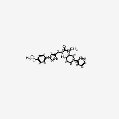 COc1ccc(-n2cc(CNC(=O)N(C)[C@@H]3CCCN(c4cccnn4)C3)nn2)cc1